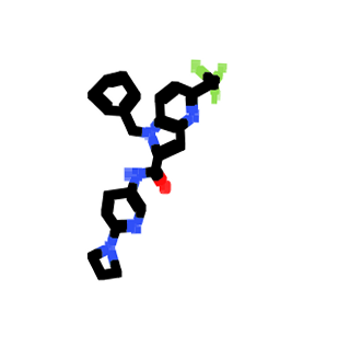 O=C(Nc1ccc(N2CCC2)nc1)c1cc2nc(C(F)(F)F)ccc2n1Cc1ccccc1